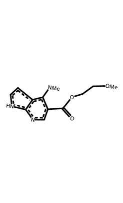 CNc1c(C(=O)OCCOC)cnc2[nH]ccc12